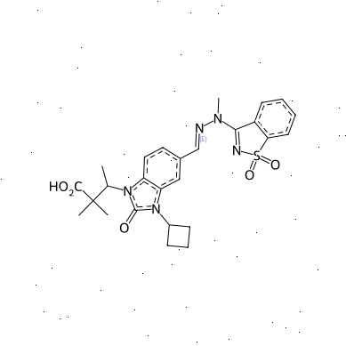 CC(n1c(=O)n(C2CCC2)c2cc(/C=N/N(C)C3=NS(=O)(=O)c4ccccc43)ccc21)C(C)(C)C(=O)O